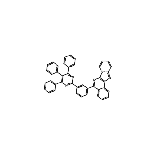 c1ccc(-c2nc(-c3cccc(-c4nc5c(nc6ccccn65)c5ccccc45)c3)nc(-c3ccccc3)c2-c2ccccc2)cc1